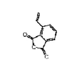 C=Cc1cccc2c1C(=O)OC2=O